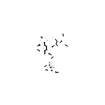 CC(=O)O[C@H]([C@@H](OC(C)=O)[C@H](C=O)OC(C)=O)[C@H](OC(C)=O)[C@@H](CO)OC(C)=O.CCCC.CCOC(C)OCC.CCOP(=S)(OCC)OP(=S)(OCC)OCC